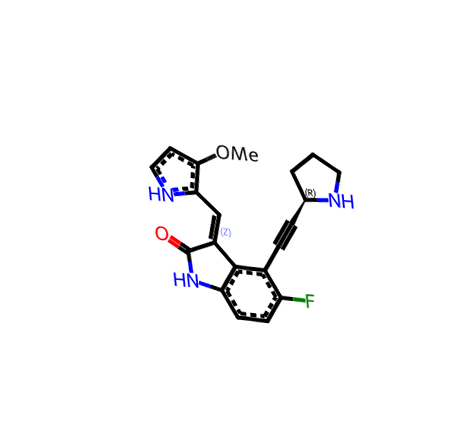 COc1cc[nH]c1/C=C1\C(=O)Nc2ccc(F)c(C#C[C@H]3CCCN3)c21